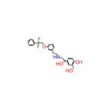 OCc1cc([C@H](O)CNCCc2cccc(OCC(F)(F)c3ccccc3)c2)ccc1O